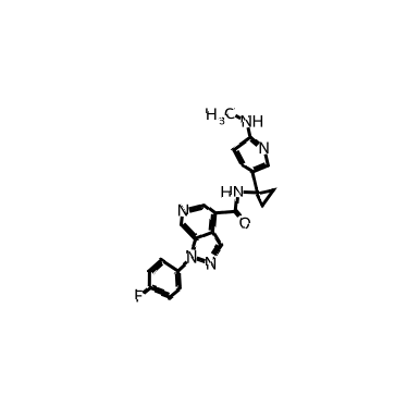 CNc1ccc(C2(NC(=O)c3cncc4c3cnn4-c3ccc(F)cc3)CC2)cn1